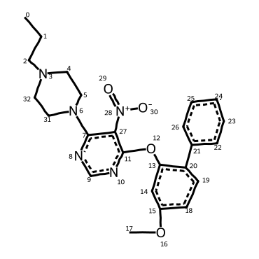 CCCN1CCN(c2ncnc(Oc3cc(OC)ccc3-c3cc[c]cc3)c2[N+](=O)[O-])CC1